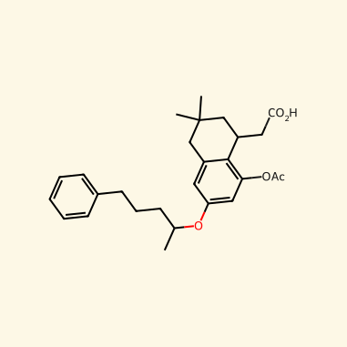 CC(=O)Oc1cc(OC(C)CCCc2ccccc2)cc2c1C(CC(=O)O)CC(C)(C)C2